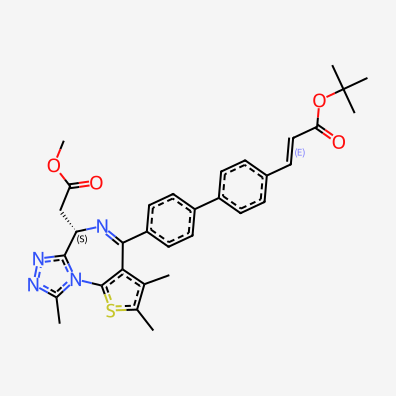 COC(=O)C[C@@H]1N=C(c2ccc(-c3ccc(/C=C/C(=O)OC(C)(C)C)cc3)cc2)c2c(sc(C)c2C)-n2c(C)nnc21